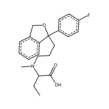 CCC(C(=O)O)N(C)CCCC1(c2ccc(F)cc2)OCc2ccccc21